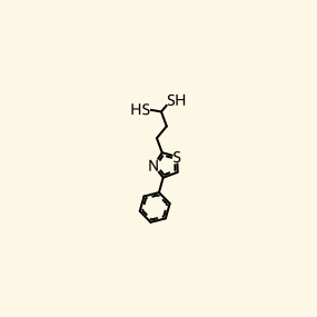 SC(S)CCc1nc(-c2ccccc2)cs1